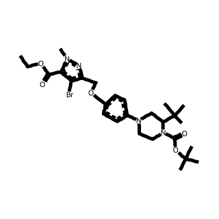 CCOC(=O)c1c(Br)c(COc2ccc(N3CCN(C(=O)OC(C)(C)C)C(C(C)(C)C)C3)cc2)nn1C